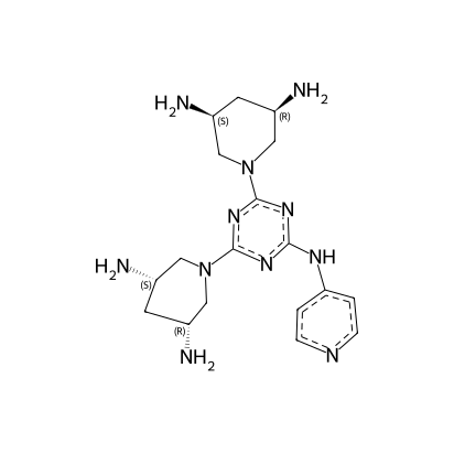 N[C@@H]1C[C@H](N)CN(c2nc(Nc3ccncc3)nc(N3C[C@H](N)C[C@H](N)C3)n2)C1